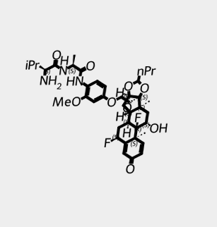 CCCC1O[C@@H]2C[C@H]3[C@@H]4C[C@H](F)C5=CC(=O)C=C[C@]5(C)[C@@]4(F)[C@@H](O)C[C@]3(C)[C@]2(C(=O)COc2ccc(NC(=O)[C@H](C)NC(=O)[C@@H](N)C(C)C)c(OC)c2)O1